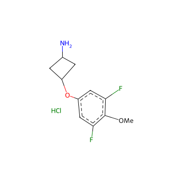 COc1c(F)cc(OC2CC(N)C2)cc1F.Cl